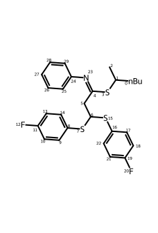 CCCCC(C)SC(CC(Sc1ccc(F)cc1)Sc1ccc(F)cc1)=Nc1ccccc1